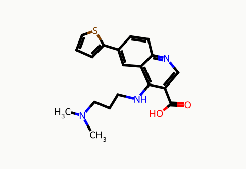 CN(C)CCCNc1c(C(=O)O)cnc2ccc(-c3cccs3)cc12